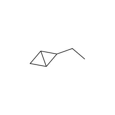 CCC1C2CC12